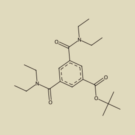 CCN(CC)C(=O)c1cc(C(=O)OC(C)(C)C)cc(C(=O)N(CC)CC)c1